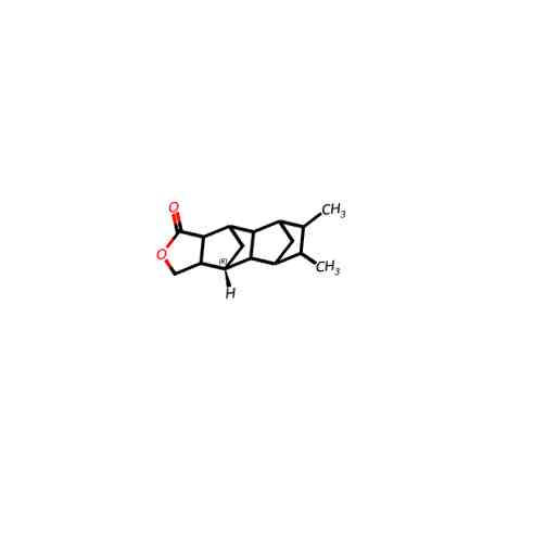 CC1C(C)C2CC1C1C3C[C@@H](C4COC(=O)C34)C21